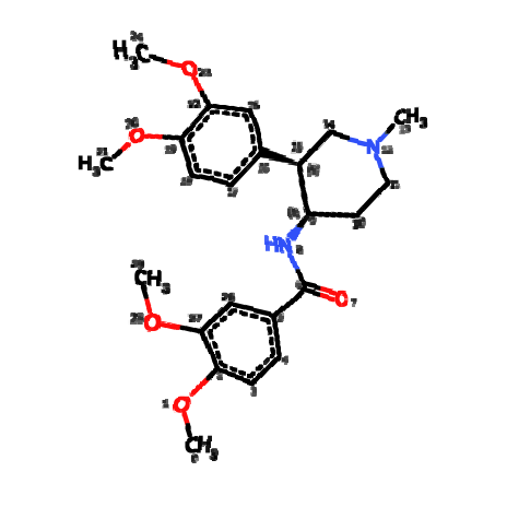 COc1ccc(C(=O)N[C@@H]2CCN(C)C[C@@H]2c2ccc(OC)c(OC)c2)cc1OC